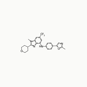 Cc1ncc(-c2ccc(Nc3cc(C(F)(F)F)cc4c3nc(C3CCOCC3)n4C)cc2)o1